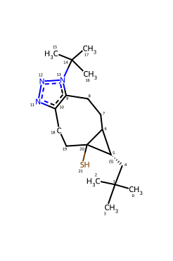 CC(C)(C)C[C@H]1C2CCc3c(nnn3C(C)(C)C)CCC21S